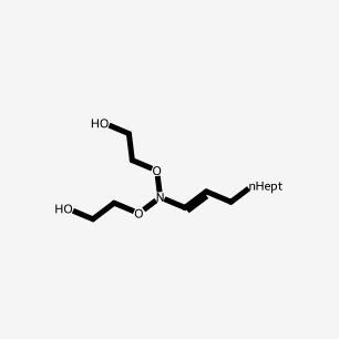 CCCCCCCCC=CN(OCCO)OCCO